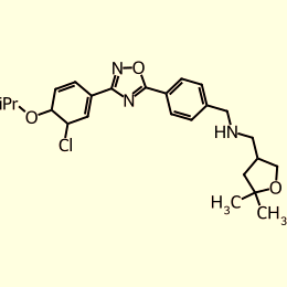 CC(C)OC1C=CC(c2noc(-c3ccc(CNCC4COC(C)(C)C4)cc3)n2)=CC1Cl